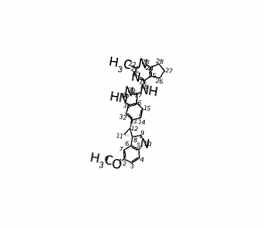 COc1ccc2c(c1)[C@@]1(C=N2)C[C@H]1c1ccc2c(Nc3nc(C)nc4c3CCC4)n[nH]c2c1